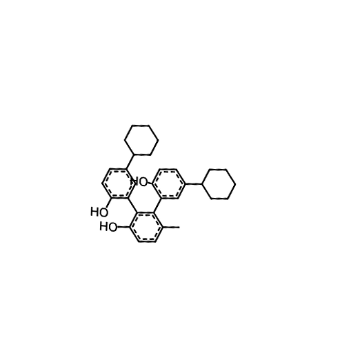 Cc1ccc(O)c(-c2cc(C3CCCCC3)ccc2O)c1-c1cc(C2CCCCC2)ccc1O